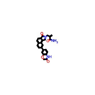 C=C(CN1Cc2c(ccc3ccc(-c4ccc5c(c4)OCC(=O)N5)cc23)C1=O)C(N)=O